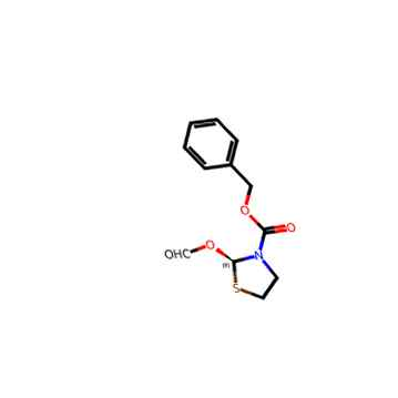 O=CO[C@@H]1SCCN1C(=O)OCc1ccccc1